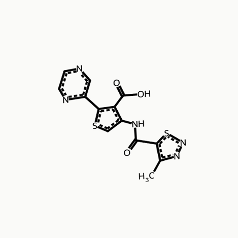 Cc1nnsc1C(=O)Nc1csc(-c2cnccn2)c1C(=O)O